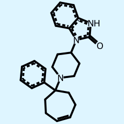 O=c1[nH]c2ccccc2n1C1CCN(C2(c3ccccc3)CCC=CCC2)CC1